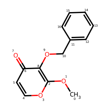 COc1occc(=O)c1OCc1ccccc1